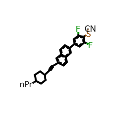 CCCC1CCC(C#Cc2ccc3cc(-c4cc(F)c(SC#N)c(F)c4)ccc3c2)CC1